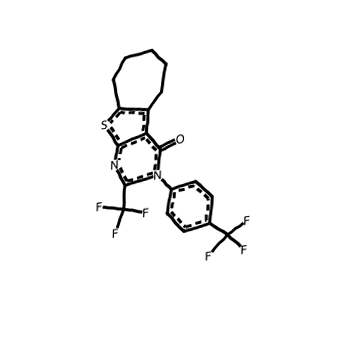 O=c1c2c3c(sc2nc(C(F)(F)F)n1-c1ccc(C(F)(F)F)cc1)CCCCC3